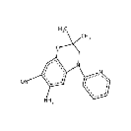 CC1(C)CN(c2ccccn2)c2cc(N)c(N=O)cc2O1